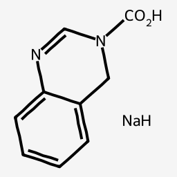 O=C(O)N1C=Nc2ccccc2C1.[NaH]